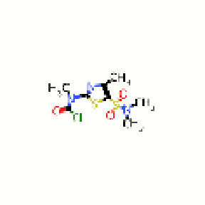 Cc1nc(N(C)C(=O)Cl)sc1S(=O)(=O)N(C)C